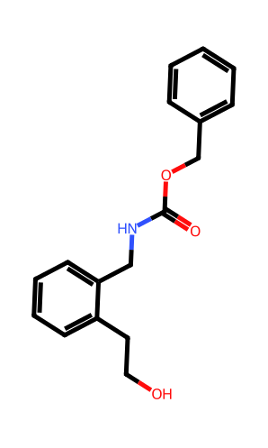 O=C(NCc1ccccc1CCO)OCc1ccccc1